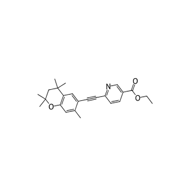 CCOC(=O)c1ccc(C#Cc2cc3c(cc2C)OC(C)(C)CC3(C)C)nc1